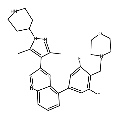 Cc1nn(C2CCNCC2)c(C)c1-c1cnc2cccc(-c3cc(F)c(CN4CCOCC4)c(F)c3)c2n1